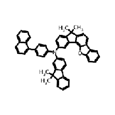 CC1(C)c2ccccc2-c2ccc(N(c3ccc(-c4cccc5ccccc45)cc3)c3ccc4c(c3)-c3c(ccc5c3oc3ccccc35)C4(C)C)cc21